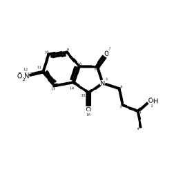 CC(O)CCN1C(=O)c2ccc([N+](=O)[O-])cc2C1=O